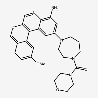 COC1=CCC2=COc3cnc4c(N)cc(N5CCCN(C(=O)N6CCOCC6)CC5)cc4c3C2=C1